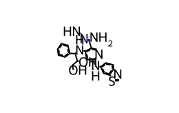 N=C/N=C(\N)c1cnc(Nc2ccc3ncsc3c2)cc1NC(c1ccccc1)C(O)CO